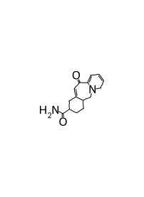 NC(=O)C1CCC2CN3CC=CC=C3C(=O)C=C2C1